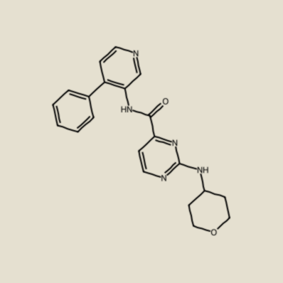 O=C(Nc1cnccc1-c1ccccc1)c1ccnc(NC2CCOCC2)n1